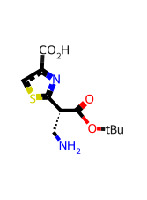 CC(C)(C)OC(=O)[C@H](CN)c1nc(C(=O)O)cs1